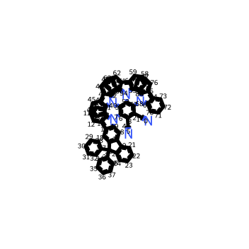 N#Cc1c(C#N)c(-n2c3ccccc3c3cc4c(cc32)-c2ccccc2C4(c2ccccc2)c2ccccc2)c(-n2c3ccccc3c3ccccc32)c(-n2c3ccccc3c3ccccc32)c1-n1c2ccccc2c2ccccc21